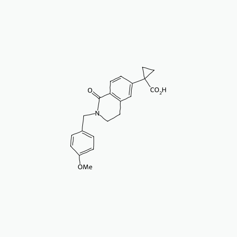 COc1ccc(CN2CCc3cc(C4(C(=O)O)CC4)ccc3C2=O)cc1